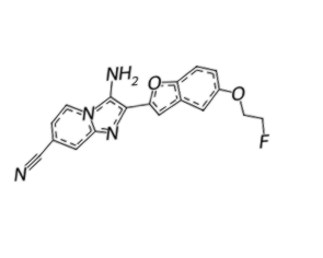 N#Cc1ccn2c(N)c(-c3cc4cc(OCCF)ccc4o3)nc2c1